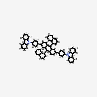 c1ccc2c(-c3c4ccc(-c5ccc(-n6c7ccccc7c7ccccc76)cc5)cc4c(-c4cccc5ccccc45)c4ccc(-c5ccc(-n6c7ccccc7c7ccccc76)cc5)cc34)cccc2c1